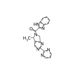 CC1c2cnc(-c3ncccn3)nc2CN1C(=O)c1nc2ccccc2[nH]1